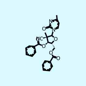 Cc1ccn(C2O[C@H](COC(=O)c3ccccc3)[C@@H](OC(=O)c3ccccc3)[C@@]2(C)C#N)c(=O)n1